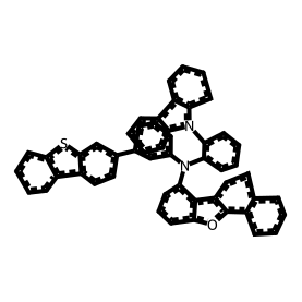 c1cc(-c2ccc3c(c2)sc2ccccc23)cc(N(c2ccccc2-n2c3ccccc3c3ccccc32)c2cccc3oc4c5ccccc5ccc4c23)c1